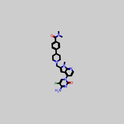 CN(C)C(=O)c1ccc(C2CCN(Cc3cc4c(-n5cc(F)c(N)nc5=O)ccnc4n3C)CC2)cc1